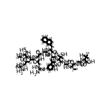 CC[C@H](NC(=O)CNC(=O)C(NC(=O)[C@H](Cc1c[nH]c2ccccc12)NC(=O)[C@H](Cc1ccc2ccccc2c1)NC(=O)CNC(=O)[C@H](CCCNC(=N)N)NC(=O)[C@@H](CCCNC(=N)N)NC(=O)[C@H](CS)NC(C)=O)C(C)(C)S)C(=O)NCC(=O)N[C@H](C(=O)O)C(C)(C)C